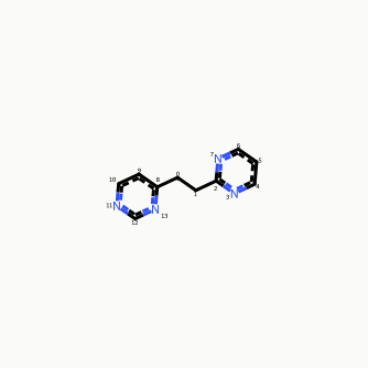 [CH](Cc1ncccn1)c1ccncn1